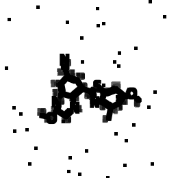 COc1cc(C)c2nc(-c3cc(C#N)cc4nc(OC)cnc34)sc2c1